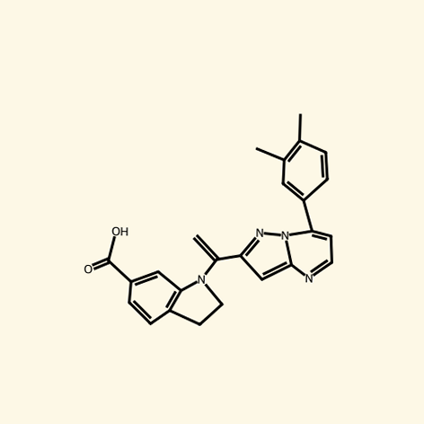 C=C(c1cc2nccc(-c3ccc(C)c(C)c3)n2n1)N1CCc2ccc(C(=O)O)cc21